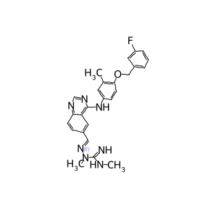 CNC(=N)N(C)/N=C/c1ccc2ncnc(Nc3ccc(OCc4cccc(F)c4)c(C)c3)c2c1